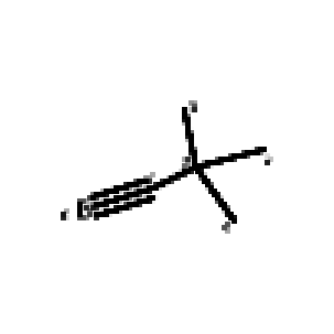 B#CC(C)(C)C